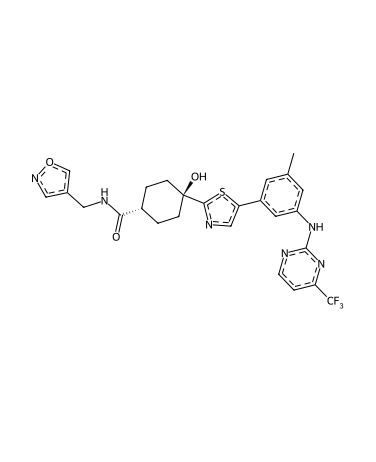 Cc1cc(Nc2nccc(C(F)(F)F)n2)cc(-c2cnc([C@]3(O)CC[C@H](C(=O)NCc4cnoc4)CC3)s2)c1